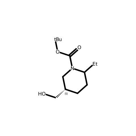 CCC1CC[C@H](CO)CN1C(=O)OC(C)(C)C